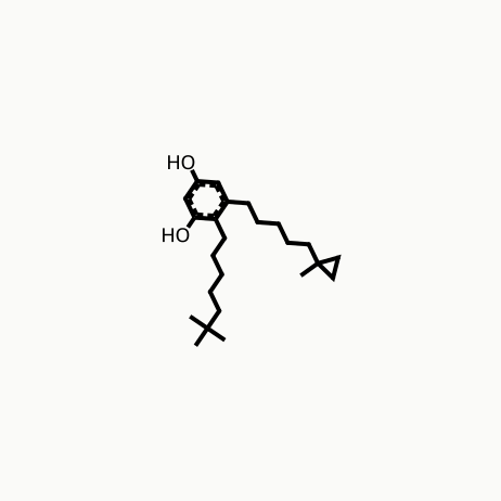 CC(C)(C)CCCCCc1c(O)cc(O)cc1CCCCCC1(C)CC1